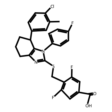 Cc1cc(C2CCCc3nc(SCc4c(F)cc(C(=O)O)cc4F)n(-c4ccc(F)cc4)c32)ccc1Cl